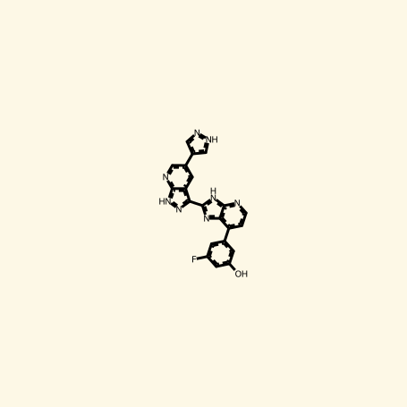 Oc1cc(F)cc(-c2ccnc3[nH]c(-c4n[nH]c5ncc(-c6cn[nH]c6)cc45)nc23)c1